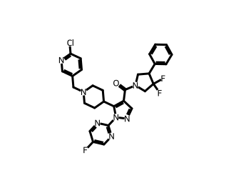 O=C(c1cnn(-c2ncc(F)cn2)c1C1CCN(Cc2ccc(Cl)nc2)CC1)N1CC(c2ccccc2)C(F)(F)C1